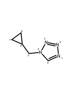 c1nnnn1CC1CC1